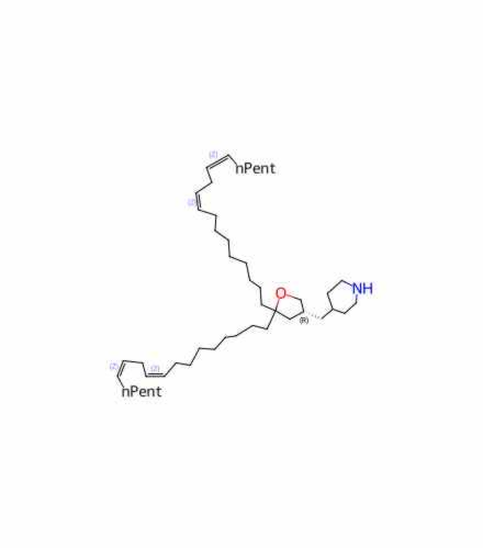 CCCCC/C=C\C/C=C\CCCCCCCCC1(CCCCCCCC/C=C\C/C=C\CCCCC)C[C@@H](CC2CCNCC2)CO1